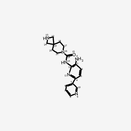 Nc1ccc(-c2cccnc2)nc1NC(=O)N1CCC2(CC1)CNC2